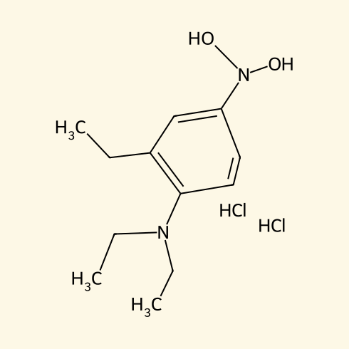 CCc1cc(N(O)O)ccc1N(CC)CC.Cl.Cl